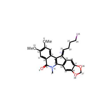 COc1cc2c3c(n(C)c(=O)c2cc1OC)-c1cc2c(cc1/C3=C\CCCI)OCO2